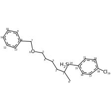 CC(CCCCOCc1ccccc1)[SiH2]c1ccc(Cl)cc1